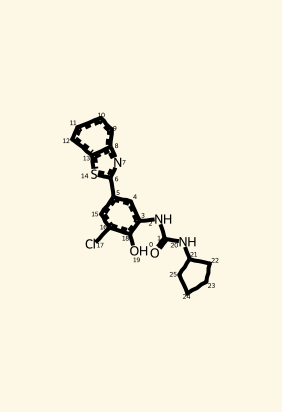 O=C(Nc1cc(-c2nc3ccccc3s2)cc(Cl)c1O)NC1CCCC1